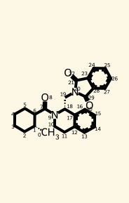 C[C@@H]1CCCCC1C(=O)N1CCc2ccccc2[C@H]1CN1C(=O)c2ccccc2C1=O